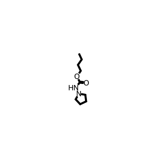 CCCCOC(=O)NN1CCCC1